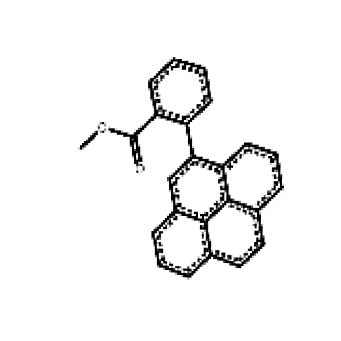 COC(=O)c1ccccc1-c1cc2cccc3ccc4cccc1c4c32